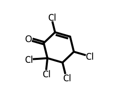 O=C1C(Cl)=CC(Cl)C(Cl)C1(Cl)Cl